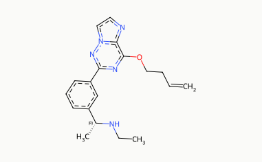 C=CCCOc1nc(-c2cccc([C@@H](C)NCC)c2)nn2ccnc12